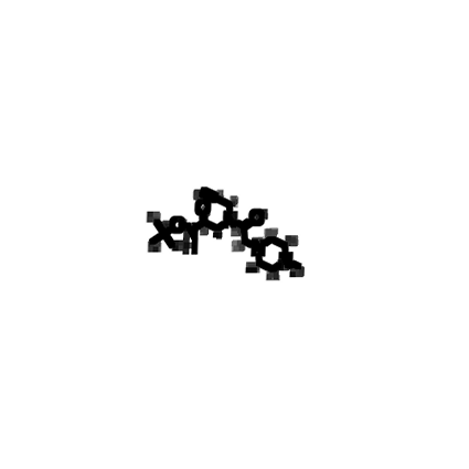 C#CCN(CC(=O)NOC(C)(C)C)C(=O)CN1CCN(C)CC1